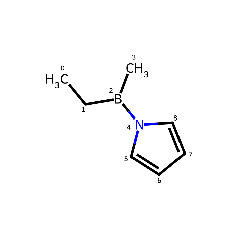 CCB(C)n1cccc1